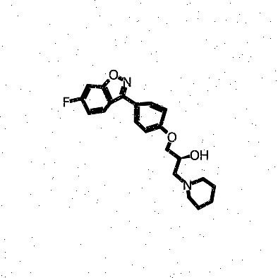 O[C@H](COc1ccc(-c2noc3cc(F)ccc23)cc1)CN1CCCCC1